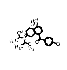 CC(C)N(C(C)C)C1CCc2cccc(C(=O)c3ccc(Cl)cc3)c2C1.Cl.Cl